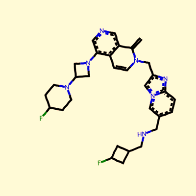 C=C1c2cncc(N3CC(N4CCC(F)CC4)C3)c2C=CN1Cc1cn2cc(CNCC3CC(F)C3)ccc2n1